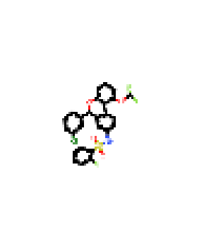 O=S(=O)(Nc1ccc2c(c1)C(c1cccc(Cl)c1)Oc1cccc(OC(F)F)c1-2)c1ccccc1F